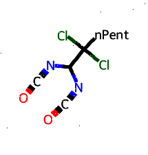 CCCCCC(Cl)(Cl)C(N=C=O)N=C=O